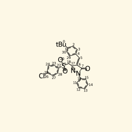 CC(C)(C)c1ccc(C=C2C(=O)N(c3ccccc3)N=C2CS(=O)(=O)c2ccc(Cl)cc2)cc1